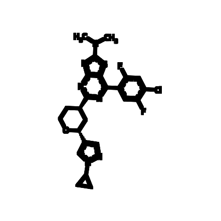 CN(C)c1nc2nc([C@@H]3CCO[C@@H](c4cnn(C5CC5)c4)C3)nc(-c3cc(F)c(Cl)cc3F)c2s1